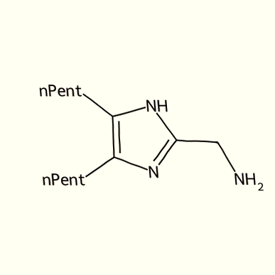 CCCCCc1nc(CN)[nH]c1CCCCC